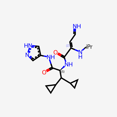 CC(C)N/C(=C\C=N)C(=O)N[C@H](C(=O)Nc1cn[nH]c1)C(C1CC1)C1CC1